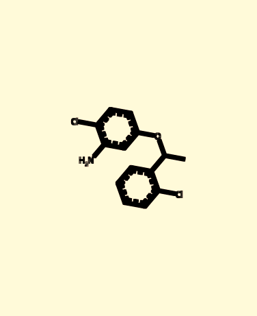 CC(Oc1ccc(Cl)c(N)c1)c1ccccc1Cl